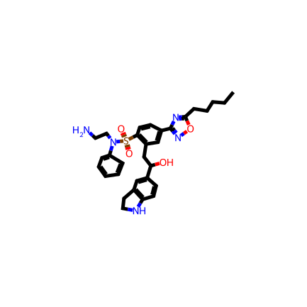 CCCCCc1nc(-c2ccc(S(=O)(=O)N(CCN)c3ccccc3)c(CC(O)c3ccc4c(c3)CCN4)c2)no1